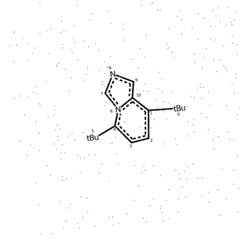 CC(C)(C)c1ccc(C(C)(C)C)n2cncc12